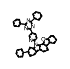 c1ccc(-c2ccc3c4ccc5c6ccccc6oc5c4n(-c4ccc(-c5nc(-c6ccccc6)nc(-c6ccccc6)n5)cn4)c3c2)cc1